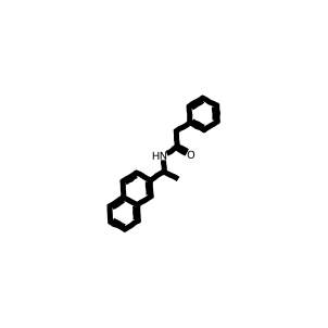 CC(NC(=O)Cc1ccccc1)c1ccc2ccccc2c1